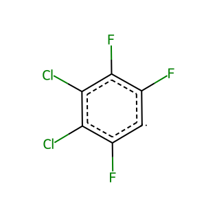 Fc1[c]c(F)c(Cl)c(Cl)c1F